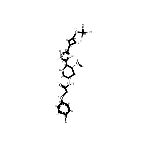 CO[C@@H]1C[C@H](NC(=O)COc2ccc(F)cc2)CO[C@H]1c1nnc(C2CC(OC(F)(F)F)C2)o1